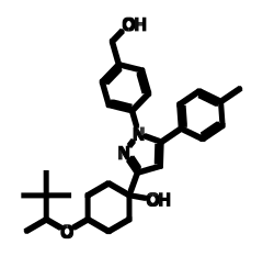 Cc1ccc(-c2cc(C3(O)CCC(OC(C)C(C)(C)C)CC3)nn2-c2ccc(CO)cc2)cc1